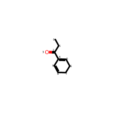 CCC(=O)C1=CCCC=C1